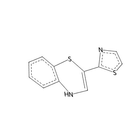 C1=C(c2nccs2)Sc2ccccc2N1